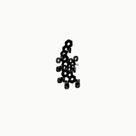 CC[C@@]1(OC(=O)[C@H](C)ON=C2c3cc(N=O)cc(N=O)c3-c3c(N=O)cc(N=O)cc32)C(=O)OCc2c1cc1n(c2=O)Cc2cc3ccccc3nc2-1